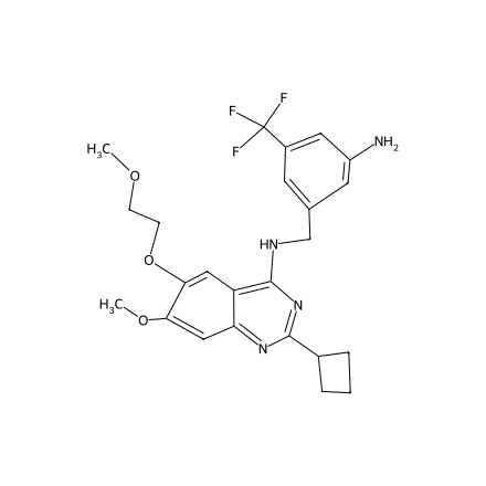 COCCOc1cc2c(NCc3cc(N)cc(C(F)(F)F)c3)nc(C3CCC3)nc2cc1OC